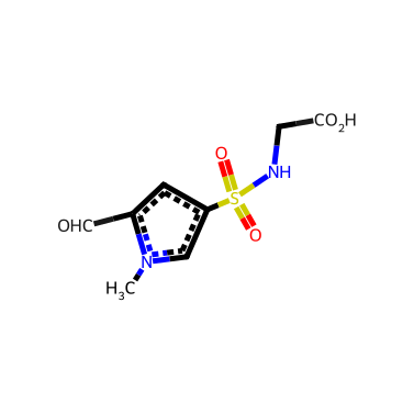 Cn1cc(S(=O)(=O)NCC(=O)O)cc1C=O